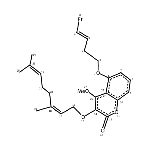 CCC=CCCOc1cccc2oc(=O)c(OCC=C(C)CCC=C(C)C)c(OC)c12